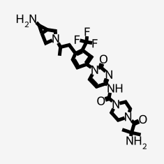 CC(Cc1ccc(-n2ccc(NC(=O)N3CCN(C(=O)C(C)(C)N)CC3)nc2=O)cc1C(F)(F)F)N1CC2C(N)C2C1